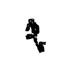 CC(=O)c1cccc(Oc2ncccc2OCCCc2ccncc2O)c1